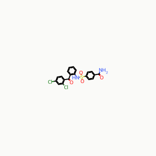 NC(=O)c1ccc(S(=O)(=O)Nc2ccccc2C(=O)c2ccc(Cl)cc2Cl)cc1